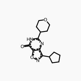 O=c1[nH]c(C2CCOCC2)nc2c(C3CCCC3)noc12